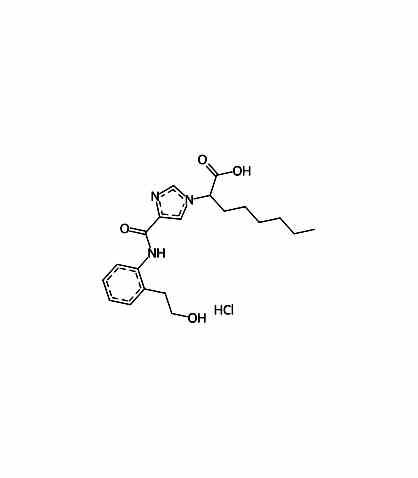 CCCCCCC(C(=O)O)n1cnc(C(=O)Nc2ccccc2CCO)c1.Cl